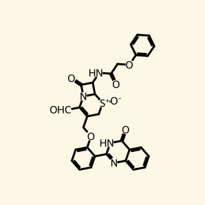 O=CC1=C(COc2ccccc2-c2nc3ccccc3c(=O)[nH]2)C[S+]([O-])C2C(NC(=O)COc3ccccc3)C(=O)N12